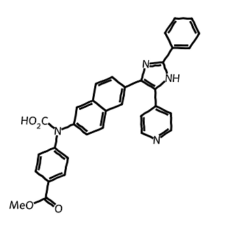 COC(=O)c1ccc(N(C(=O)O)c2ccc3cc(-c4nc(-c5ccccc5)[nH]c4-c4ccncc4)ccc3c2)cc1